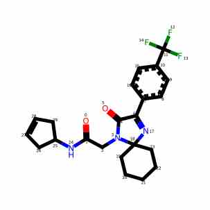 O=C(CN1C(=O)C(c2ccc(C(F)(F)F)cc2)=NC12CCCCC2)NC1CC=CC1